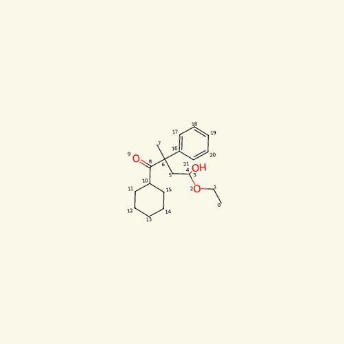 CCOC(O)CC(C)(C(=O)C1CCCCC1)c1ccccc1